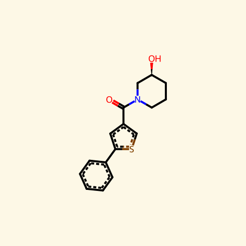 O=C(c1csc(-c2ccccc2)c1)N1CCC[C@H](O)C1